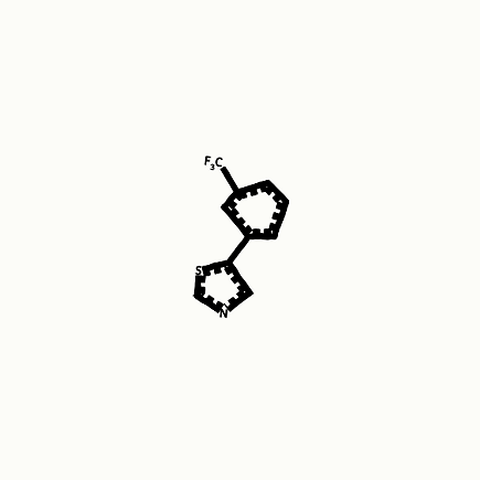 FC(F)(F)c1cccc(-c2cn[c]s2)c1